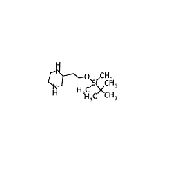 CC(C)(C)[Si](C)(C)OCCC1CNCCN1